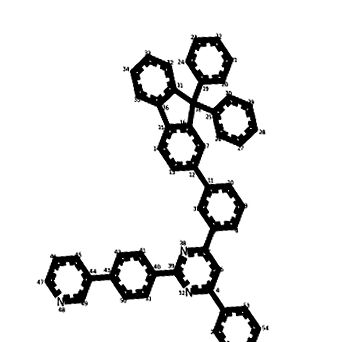 c1ccc(-c2cc(-c3cccc(-c4ccc5c(c4)C(c4ccccc4)(c4ccccc4)c4ccccc4-5)c3)nc(-c3ccc(-c4cccnc4)cc3)n2)cc1